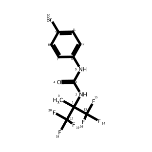 CC(NC(=O)Nc1ccc(Br)cc1)(C(F)(F)F)C(F)(F)F